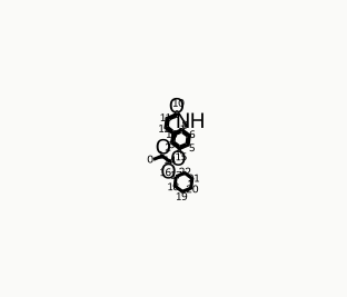 CC(Oc1cccc2[nH]c(=O)ccc12)C(=O)OC1CCCCC1